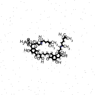 CC(C)=CCC/C(C)=C/CC[C@@]1(C)Oc2c(c(O)cc3c2CN([C@@H](CCCN2Cc4c(cc(O)c5c4O[C@](C)(CC/C=C(\C)CCC=C(C)C)[C@@H](O)C5)C2=O)C(=O)O)C3=O)C[C@@H]1OS(N)(=O)=O